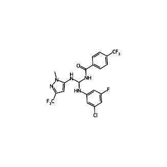 Cn1nc(C(F)(F)F)cc1NC(NC(=O)c1ccc(C(F)(F)F)cc1)Nc1cc(F)cc(Cl)c1